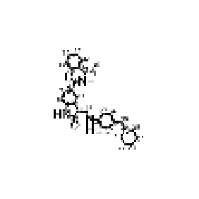 CC[C@H](NC(=O)c1ccc2c(c1)C(=CNc1ccc(CN3CCCCC3)cc1)C(=O)N2)c1ccccc1